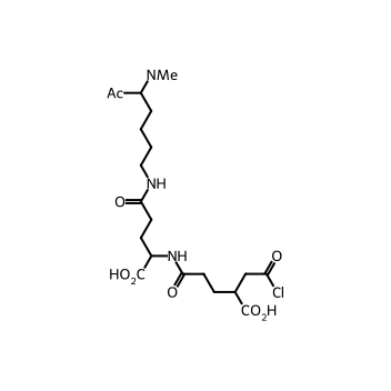 CNC(CCCCNC(=O)CCC(NC(=O)CCC(CC(=O)Cl)C(=O)O)C(=O)O)C(C)=O